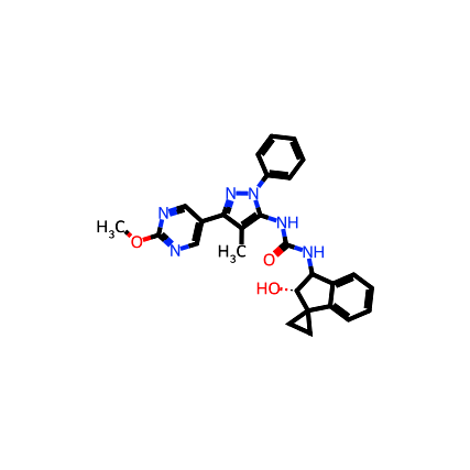 COc1ncc(-c2nn(-c3ccccc3)c(NC(=O)NC3c4ccccc4C4(CC4)[C@@H]3O)c2C)cn1